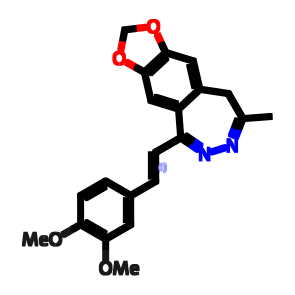 COc1ccc(/C=C/C2=NN=C(C)Cc3cc4c(cc32)OCO4)cc1OC